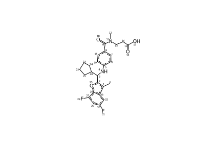 Cc1c(C(Nc2ccc(C(=O)N(C)CCC(=O)O)cc2)C2CCCC2)oc2c(F)cc(F)cc12